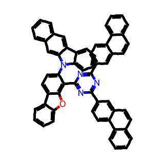 c1ccc2cc3c(cc2c1)c1ccccc1n3-c1ccc2c(oc3ccccc32)c1-c1nc(-c2ccc3c(ccc4ccccc43)c2)nc(-c2ccc3c(ccc4ccccc43)c2)n1